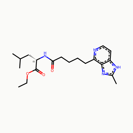 CCOC(=O)[C@H](CC(C)C)NC(=O)CCCCc1nccc2[nH]c(C)nc12